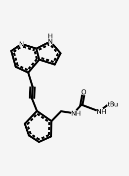 CC(C)(C)NC(=O)NCc1ccccc1C#Cc1ccnc2[nH]ccc12